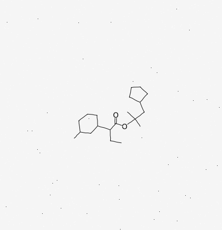 CCC(C(=O)OC(C)(C)CC1CCCC1)C1CCCC(C)C1